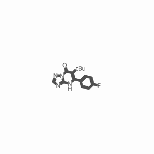 CC(C)(C)c1c(-c2ccc(F)cc2)[nH]c2ncnn2c1=O